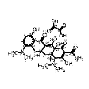 CN(C)c1ccc(O)c2c1C[C@H]1C[C@H]3[C@H](N(C)C)C(O)=C(C(N)=O)C(=O)[C@@]3(O)C(O)=C1C2=O.O=C(O)C(=O)O